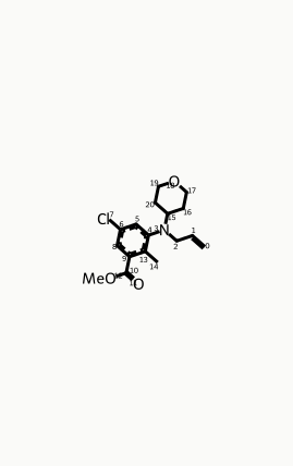 C=CCN(c1cc(Cl)cc(C(=O)OC)c1C)C1CCOCC1